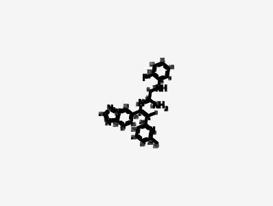 C/C(=C(\N=C(/N)CNc1ccccc1F)c1ccc2ncnn2c1)c1cccc(C)n1